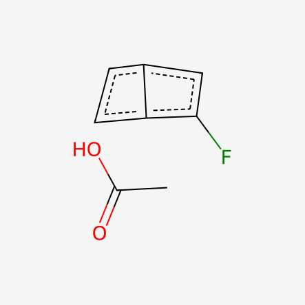 CC(=O)O.Fc1cc2ccc1-2